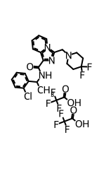 CC(NC(=O)c1nc(CN2CCC(F)(F)CC2)n2ccccc12)c1ccccc1Cl.O=C(O)C(F)(F)F.O=C(O)C(F)(F)F